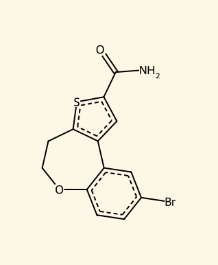 NC(=O)c1cc2c(s1)CCOc1ccc(Br)cc1-2